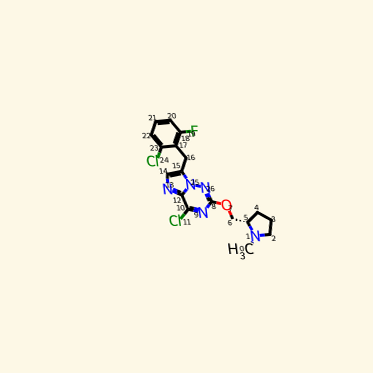 CN1CCC[C@H]1COc1nc(Cl)c2ncc(Cc3c(F)cccc3Cl)n2n1